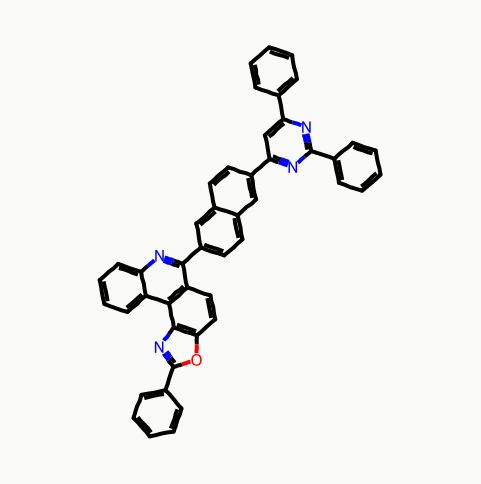 c1ccc(-c2cc(-c3ccc4cc(-c5nc6ccccc6c6c5ccc5oc(-c7ccccc7)nc56)ccc4c3)nc(-c3ccccc3)n2)cc1